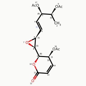 CC(=O)O[C@@H](C)[C@@H](/C=C/[C@@H]1O[C@@H]1[C@@H]1OC(=O)C=C[C@@H]1OC(C)=O)OC(C)=O